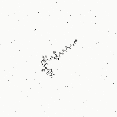 CC(C)(C)OC(=O)NC(=N)c1ccc2c(c1)C(CCNC(=O)CCCCCCCCCC#N)CO2